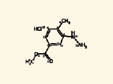 COC(=O)c1ccc(C)c(NN)c1.Cl